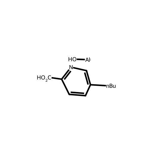 CCCCc1ccc(C(=O)O)nc1.[OH][Al]